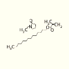 C=C(C)C(=O)OCCCCCCCCCCCCCC.C=CN1CCCC1=O